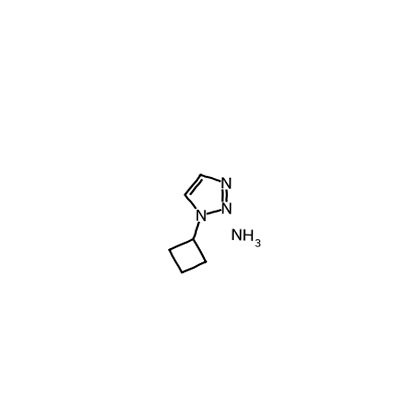 N.c1cn(C2CCC2)nn1